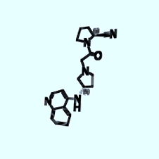 N#C[C@@H]1CCCN1C(=O)CN1CC[C@H](Nc2ccnc3ccccc23)C1